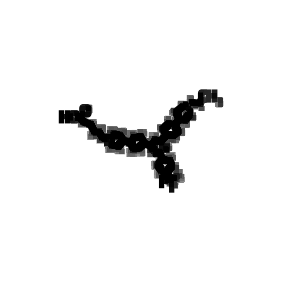 CCC[n+]1ccc(-c2ccc(-c3cc(-c4ccc(-c5cc[n+](CCCCCC(=O)O)cc5)cc4)nc(-c4ccc(C(F)(F)F)cc4)n3)cc2)cc1